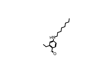 CCCCCCCCNc1ccc([C]=O)c(CC)c1